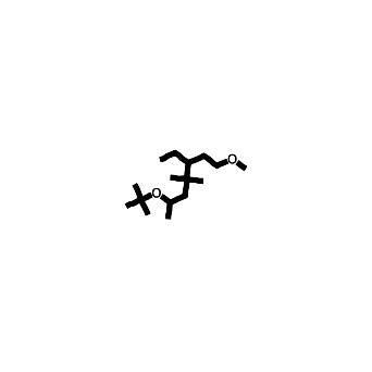 CCC(CCOC)C(C)(C)CC(C)OC(C)(C)C